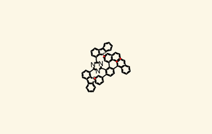 c1ccc(-c2ccc(-c3cccc4ccccc34)c(-c3cccc4ccccc34)c2-c2nc(-c3cccc4c3sc3ccccc34)nc(-c3cccc4c3sc3ccccc34)n2)cc1